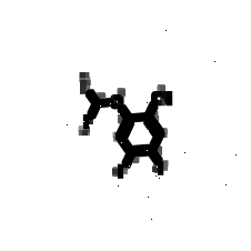 N#Cc1cc(F)c(F)cc1OC(F)F